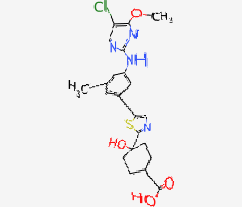 COc1nc(Nc2cc(C)cc(-c3cnc(C4(O)CCC(C(=O)O)CC4)s3)c2)ncc1Cl